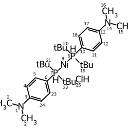 CN(C)c1ccc([PH]([Ni][PH](c2ccc(N(C)C)cc2)(C(C)(C)C)C(C)(C)C)(C(C)(C)C)C(C)(C)C)cc1.Cl